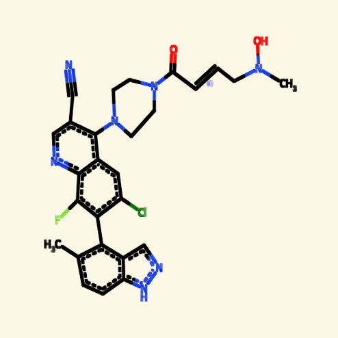 Cc1ccc2[nH]ncc2c1-c1c(Cl)cc2c(N3CCN(C(=O)/C=C/CN(C)O)CC3)c(C#N)cnc2c1F